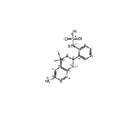 CC(C)S(=O)(=O)Nc1ccccc1C1CC(C)(C)c2cc(C#N)ccc2N1